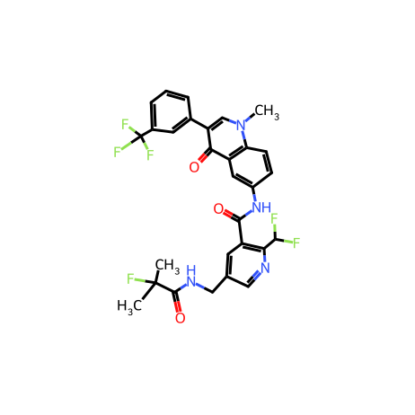 Cn1cc(-c2cccc(C(F)(F)F)c2)c(=O)c2cc(NC(=O)c3cc(CNC(=O)C(C)(C)F)cnc3C(F)F)ccc21